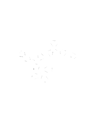 c1ccc(-c2ccc(-n3c4ccccc4c4cc(-c5ccc6c(c5)c5c7c(ccc5n6-c5ccc6ccccc6c5)C(c5ccccc5)(c5ccccc5)c5ccccc5-7)ccc43)cc2)cc1